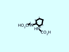 O=C(O)CNC1CCCCC1NC(=O)O